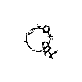 CC1CCCCCn2c(=O)c(C3(C#N)CC3)cc3c(ncnc32)N[C@H](C)c2cccc(c2)C(F)(F)C2CCN(CC2)C1